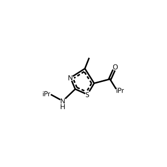 Cc1nc(NC(C)C)sc1C(=O)C(C)C